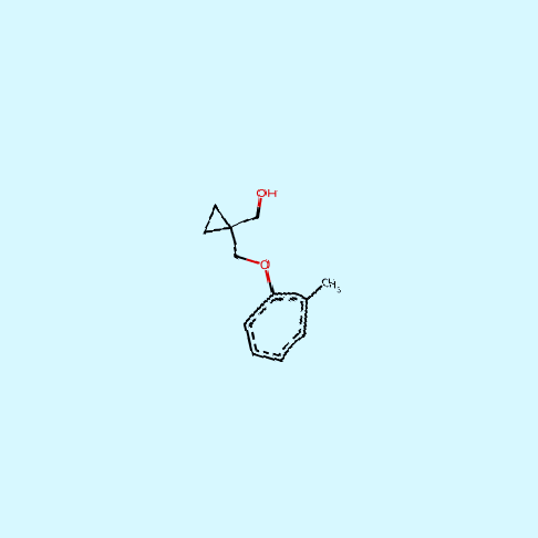 Cc1ccccc1OCC1(CO)CC1